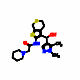 Cn1ncc(C(O)c2c(NC(=O)CN3CCCCC3)sc3c2CCSC3)c1C(F)(F)F